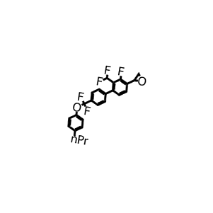 CCCc1ccc(OC(F)(F)c2ccc(-c3ccc(C4CO4)c(F)c3C(F)F)cc2)cc1